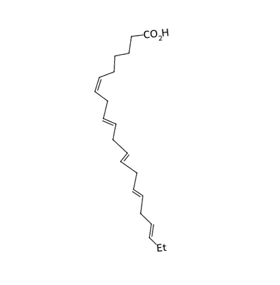 CCC=CCC=CCC=CCC=CC/C=C\CCCCC(=O)O